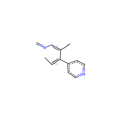 C=N/C=C(C)\C(=C/C)c1ccncc1